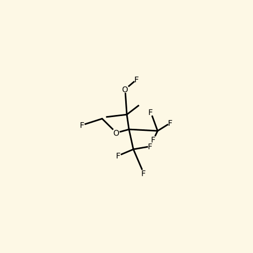 CC(C)(OF)C(OCF)(C(F)(F)F)C(F)(F)F